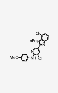 CCCn1c(-c2cnc(Nc3ccc(OC)cc3)c(Cl)c2)nc2cccc(Cl)c21